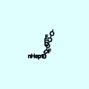 CCCCCCCOc1ccc(C2CCC(c3ccc(-c4ccc(C)cc4)c(F)c3F)OC2)c(F)c1